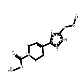 CCOSc1nc(C2=CCN(C(=O)OC(C)(C)C)CC2)n[nH]1